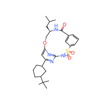 CC(C)C[C@@H]1COc2cc(C3CCCC(C(C)(C)C)C3)nc(n2)NS(=O)(=O)c2cccc(c2)C(=O)N1